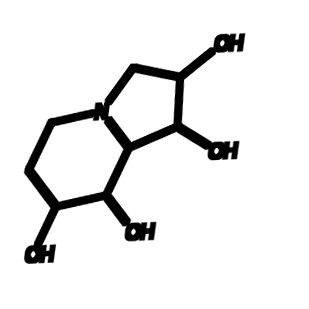 OC1CCN2CC(O)C(O)C2C1O